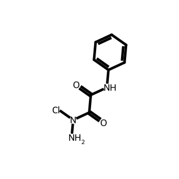 NN(Cl)C(=O)C(=O)Nc1ccccc1